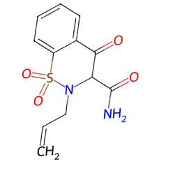 C=CCN1C(C(N)=O)C(=O)c2ccccc2S1(=O)=O